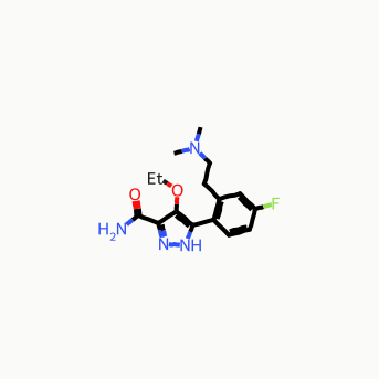 CCOc1c(C(N)=O)n[nH]c1-c1ccc(F)cc1CCN(C)C